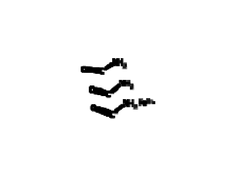 N[C-]=O.N[C-]=O.N[C-]=O.[Fe+3]